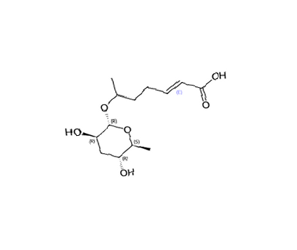 CC(CC/C=C/C(=O)O)O[C@@H]1O[C@@H](C)[C@H](O)C[C@H]1O